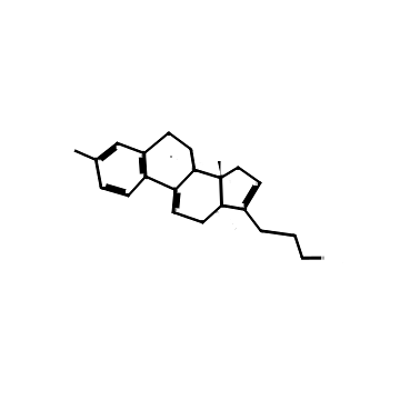 CCCCC1=CC[C@H]2[C@@H]3CCc4cc(O)ccc4C3=CC[C@]12C